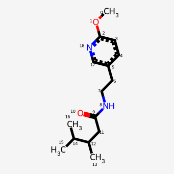 COc1ccc(CCNC(=O)CC(C)C(C)C)cn1